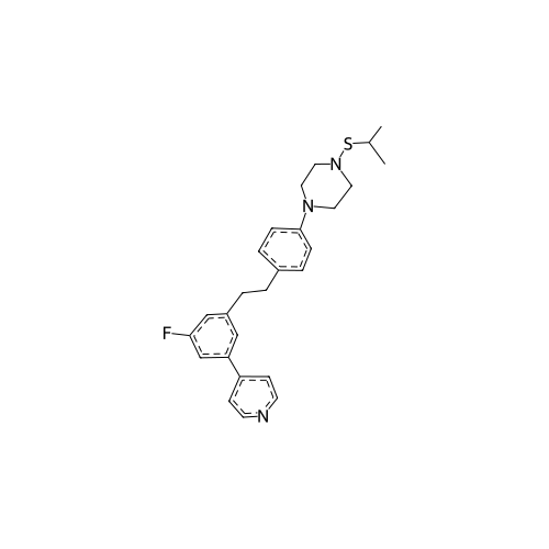 CC(C)SN1CCN(c2ccc(CCc3cc(F)cc(-c4ccncc4)c3)cc2)CC1